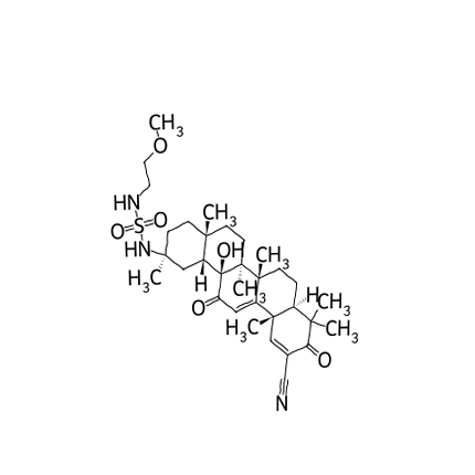 COCCNS(=O)(=O)N[C@@]1(C)CC[C@]2(C)CC[C@@]3(C)[C@]4(C)CC[C@H]5C(C)(C)C(=O)C(C#N)=C[C@]5(C)C4=CC(=O)[C@]3(O)[C@@H]2C1